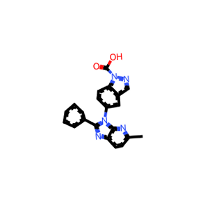 Cc1ccc2nc(-c3ccccc3)n(-c3ccc4c(cnn4C(=O)O)c3)c2n1